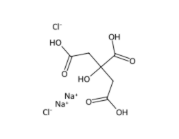 O=C(O)CC(O)(CC(=O)O)C(=O)O.[Cl-].[Cl-].[Na+].[Na+]